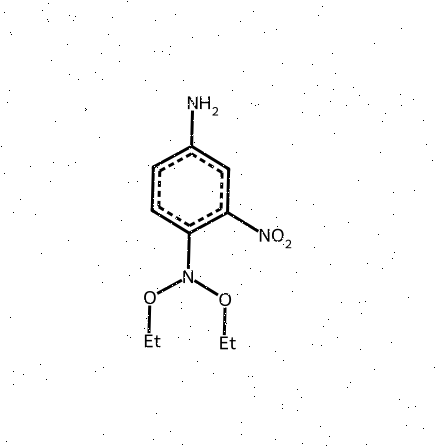 CCON(OCC)c1ccc(N)cc1[N+](=O)[O-]